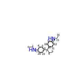 CCNc1ccc(C(CC)c2ccc(NCC)cc2)cc1